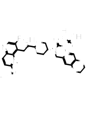 COc1ccc2ncc(F)c(C[C@H](O)[C@@H]3CC[C@@H](N(Cc4cc5c(cn4)OCCO5)C(=O)OC(C)(C)C)CO3)c2n1